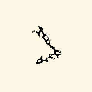 Cc1ccccc1C(C)OC(=O)Nc1c(C#Cc2cc3cc(C4(C(=O)O)CC4)oc3o2)nsc1Cl